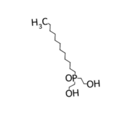 CCCCCCCCCCCCP(=O)(CCO)CCO